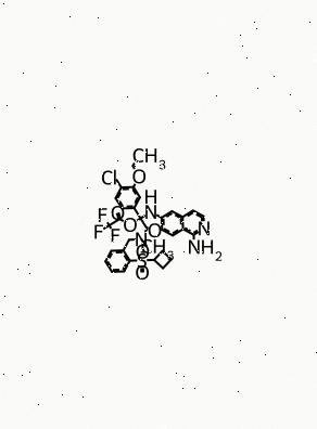 CCOc1cc(C(Nc2ccc3c(N)nccc3c2)(OC(=O)C(F)(F)F)C(=O)N(C)Cc2ccccc2S(=O)(=O)C2CCC2)ccc1Cl